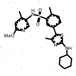 COc1cc(C)c(NS(=O)(=O)c2cc(-c3sc(NC4CCCCC4)nc3C)ccc2C)cn1